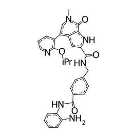 CC(C)Oc1ncccc1-c1cn(C)c(=O)c2[nH]c(C(=O)NCc3ccc(C(=O)Nc4ccccc4N)cc3)cc12